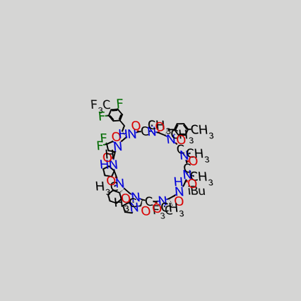 CC[C@H](C)[C@@H]1NC(=O)[C@H](CC(F)(F)F)N(C)C(=O)C[C@@H](C(=O)N2CCCC2)N(C)C(=O)[C@H](C2CCCCC2)N(C)C(=O)C2(CCCC2)NC(=O)[C@@H]2CC(F)(F)CN2C(=O)[C@H](CCc2cc(F)c(C(F)(F)F)c(F)c2)NC(=O)CN(C)C(=O)[C@H](Cc2ccc(C)cc2)N(C)C(=O)CN(C)C(=O)CN(C)C1=O